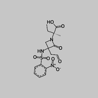 CC[C@@](C)(C(=O)O)N1CC(CC=O)(NS(=O)(=O)c2ccccc2[N+](=O)[O-])C1=O